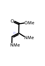 CN/C=C(\NC)C(=O)OC